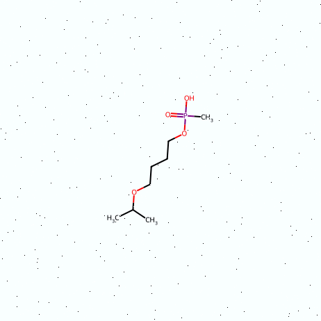 CC(C)OCCCCOP(C)(=O)O